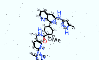 CO[C@]1(C(=O)N[C@@H](C)c2ccc(-n3ncnc3C)nc2)CC[C@H](c2nc(Nc3cc(C)[nH]n3)cc3cccnc32)CC1